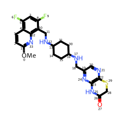 COc1ccc2c(F)cc(F)c(CNC3CCC(NCc4cnc5c(n4)NC(=O)CS5)CC3)c2n1